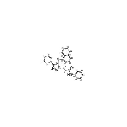 O=C(CSc1nnc(C2C=CC=CC2)n1Cc1cccc2ccccc12)Nc1ccccc1